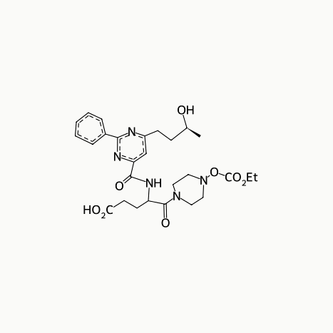 CCOC(=O)ON1CCN(C(=O)C(CCC(=O)O)NC(=O)c2cc(CC[C@H](C)O)nc(-c3ccccc3)n2)CC1